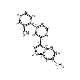 Cc1cc2ncc(-c3cccc(-c4ccccc4C#N)c3)n2cn1